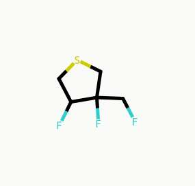 FCC1(F)CSCC1F